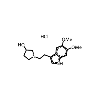 COc1cc2[nH]cc(CCN3CCC(O)C3)c2cc1OC.Cl